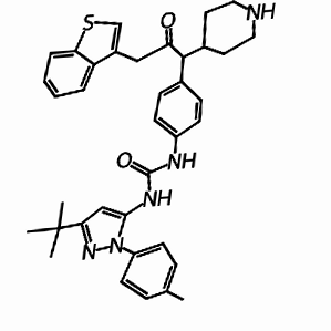 Cc1ccc(-n2nc(C(C)(C)C)cc2NC(=O)Nc2ccc(C(C(=O)Cc3csc4ccccc34)C3CCNCC3)cc2)cc1